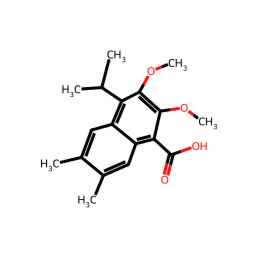 COc1c(OC)c(C(C)C)c2cc(C)c(C)cc2c1C(=O)O